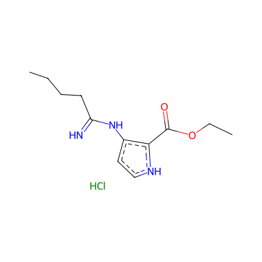 CCCCC(=N)Nc1cc[nH]c1C(=O)OCC.Cl